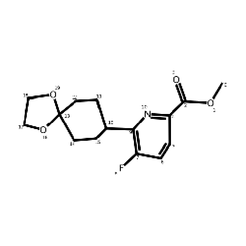 COC(=O)c1ccc(F)c(C2CCC3(CC2)OCCO3)n1